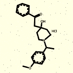 COc1ccc(C(C)N2CCC(O)(CC(=O)c3ccccc3)CC2)cc1.Cl